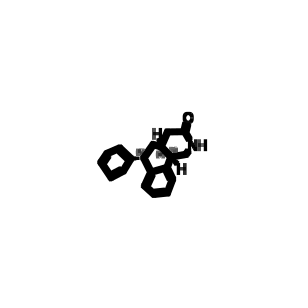 O=C1C[C@H]2C[C@@H](c3ccccc3)c3ccccc3[C@H]2CN1